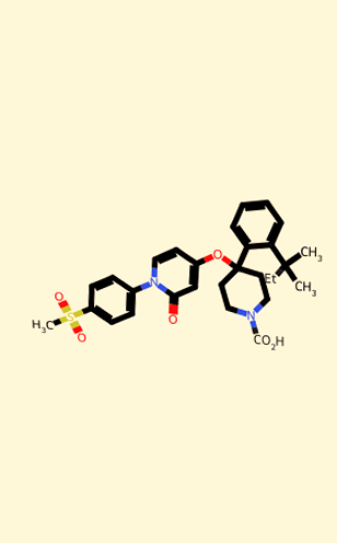 CCC(C)(C)c1ccccc1C1(Oc2ccn(-c3ccc(S(C)(=O)=O)cc3)c(=O)c2)CCN(C(=O)O)CC1